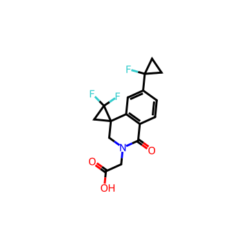 O=C(O)CN1CC2(CC2(F)F)c2cc(C3(F)CC3)ccc2C1=O